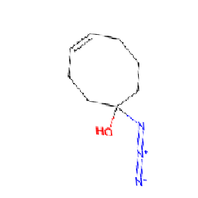 [N-]=[N+]=NC1(O)CCC=CCCC1